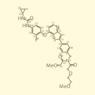 COCCOCC(=O)N(Cc1ccc(-c2cc3nccc(Oc4ccc(NC(=O)NC5CC5)cc4F)c3s2)cc1)C(=O)COC